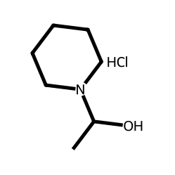 CC(O)N1CCCCC1.Cl